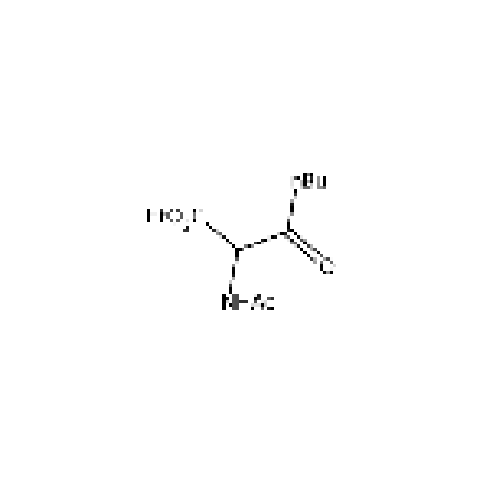 CCCCC(=O)C(NC(C)=O)C(=O)OCC